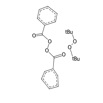 CC(C)(C)OOC(C)(C)C.O=C(OOC(=O)c1ccccc1)c1ccccc1